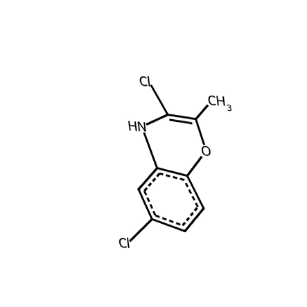 CC1=C(Cl)Nc2cc(Cl)ccc2O1